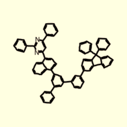 c1ccc(-c2cc(-c3cccc(-c4ccc5c(c4)-c4ccccc4C5(c4ccccc4)c4ccccc4)c3)cc(-c3ccc(-c4cc(-c5ccccc5)nc(-c5ccccc5)n4)c4ccccc34)c2)cc1